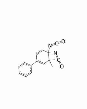 CC1(C)C=C(c2ccccc2)C=CC1(N=C=O)N=C=O